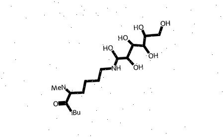 CCC(C)C(=O)C(CCCCNC(O)C(O)C(O)C(O)C(O)CO)NC